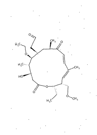 CCO[C@H]1[C@@H](CC=O)C[C@@H](C)C(=O)/C=C/C(C)=C/[C@H](COC)[C@H](CC)OC(=O)C[C@@H](O)[C@@H]1C